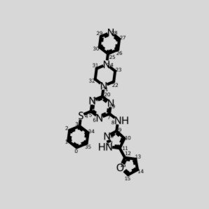 c1ccc(Sc2nc(Nc3cc(-c4ccco4)[nH]n3)nc(N3CCN(c4ccncc4)CC3)n2)cc1